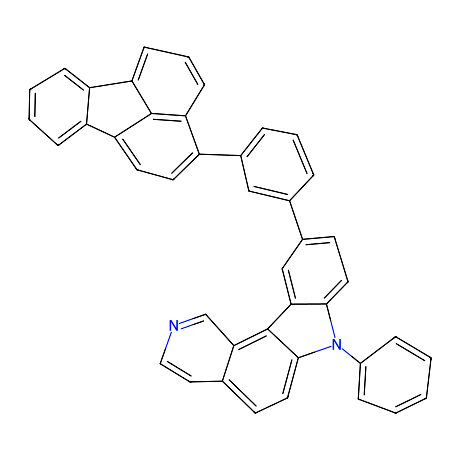 c1ccc(-n2c3ccc(-c4cccc(-c5ccc6c7c(cccc57)-c5ccccc5-6)c4)cc3c3c4cnccc4ccc32)cc1